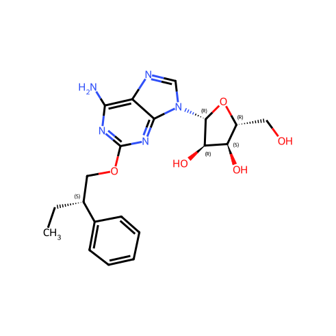 CC[C@H](COc1nc(N)c2ncn([C@@H]3O[C@H](CO)[C@@H](O)[C@H]3O)c2n1)c1ccccc1